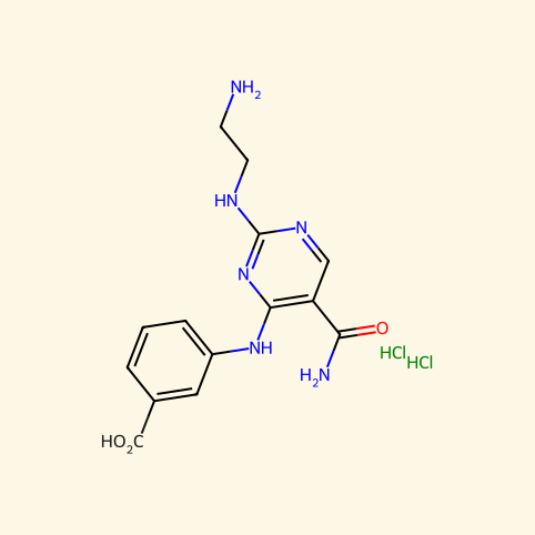 Cl.Cl.NCCNc1ncc(C(N)=O)c(Nc2cccc(C(=O)O)c2)n1